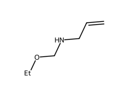 C=CCNCOCC